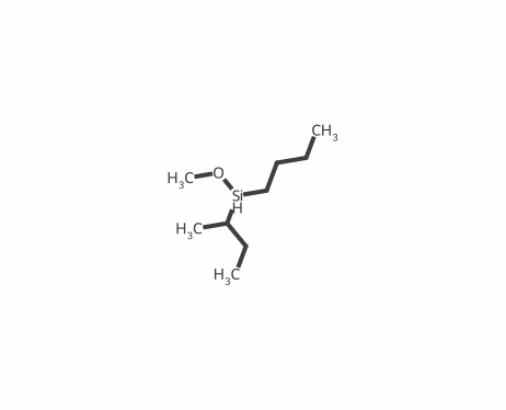 CCCC[SiH](OC)C(C)CC